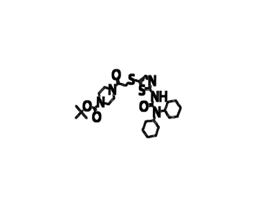 CC(C)(C)OC(=O)N1CCN(C(=O)CSc2cnc(NC(=O)N(C3CCCCC3)C3CCCCC3)s2)CC1